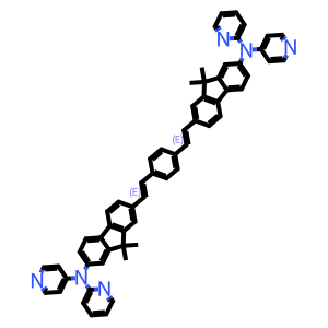 CC1(C)c2cc(/C=C/c3ccc(/C=C/c4ccc5c(c4)C(C)(C)c4cc(N(c6ccncc6)c6ccccn6)ccc4-5)cc3)ccc2-c2ccc(N(c3ccncc3)c3ccccn3)cc21